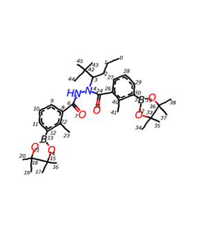 CCCC(N(NC(=O)c1cccc(B2OC(C)(C)C(C)(C)O2)c1C)C(=O)c1cccc(B2OC(C)(C)C(C)(C)O2)c1C)C(C)(C)C